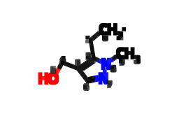 [CH2]Cc1c(CO)cnn1C